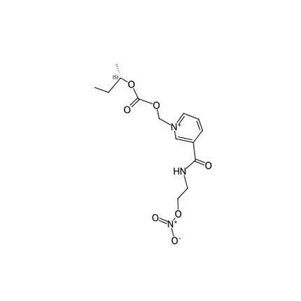 CC[C@H](C)OC(=O)OC[n+]1cccc(C(=O)NCCO[N+](=O)[O-])c1